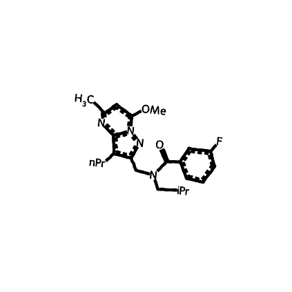 CCCc1c(CN(CC(C)C)C(=O)c2cccc(F)c2)nn2c(OC)cc(C)nc12